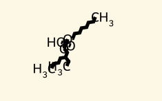 CCCCCCCCOP(=O)(O)OCC(CC)CCCC